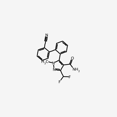 Cn1nc(C(F)F)c(C(N)=O)c1-c1ccccc1-c1ccccc1C#N